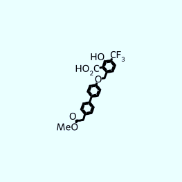 COC(=O)Cc1ccc(-c2ccc(OCc3ccc(C(F)(F)F)c(O)c3C(=O)O)cc2)cc1